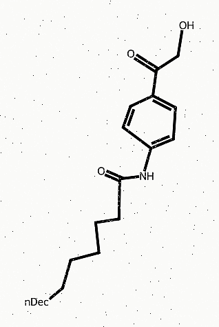 CCCCCCCCCCCCCCCC(=O)Nc1ccc(C(=O)CO)cc1